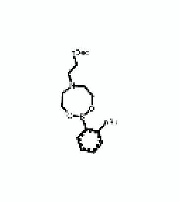 CCCCCCCCCCCCN1CCOB(c2ccccc2CCCC)OCC1